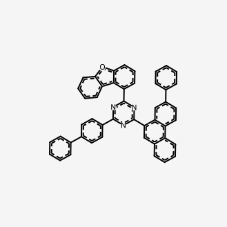 c1ccc(-c2ccc(-c3nc(-c4cc5ccccc5c5ccc(-c6ccccc6)cc45)nc(-c4cccc5oc6ccccc6c45)n3)cc2)cc1